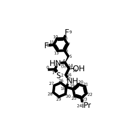 CC(=S)N[C@@H](Cc1cc(F)cc(F)c1)[C@H](O)CNC1(c2cccc(C(C)C)c2)CCCCC1